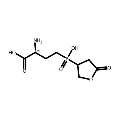 N[C@@H](CCP(=O)(O)C1COC(=O)C1)C(=O)O